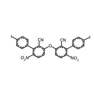 N#Cc1c(Oc2ccc([N+](=O)[O-])c(-c3ccc(I)cc3)c2C#N)ccc([N+](=O)[O-])c1-c1ccc(I)cc1